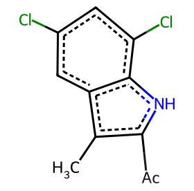 CC(=O)c1[nH]c2c(Cl)cc(Cl)cc2c1C